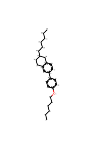 CCCCCCOc1ccc(-c2ccc3c(c2)CCC(CCCCCC)C3)cc1